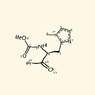 COC(=O)N[C@@H](Cc1nccn1C)C(=O)C(C)C